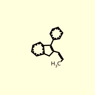 C/C=C\C1=C(c2ccccc2)c2ccccc2C1